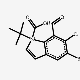 CC(C)(C)[N+]1(C(=O)O)C=Cc2cc(Br)c(Cl)c(C=O)c21